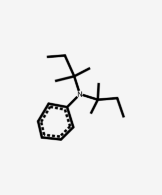 CCC(C)(C)N(c1ccccc1)C(C)(C)CC